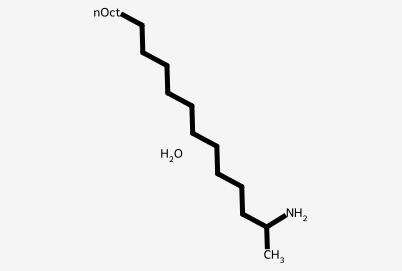 CCCCCCCCCCCCCCCCCCC(C)N.O